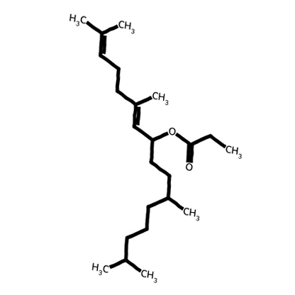 CCC(=O)OC(/C=C(\C)CCC=C(C)C)CCC(C)CCCC(C)C